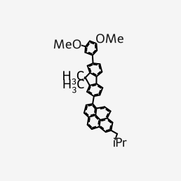 COc1cc(OC)cc(-c2ccc3c(c2)C(C)(C)c2cc(-c4ccc5ccc6cc(CC(C)C)cc7ccc4c5c67)ccc2-3)c1